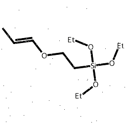 CC=COCC[Si](OCC)(OCC)OCC